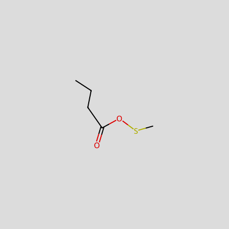 CCCC(=O)OSC